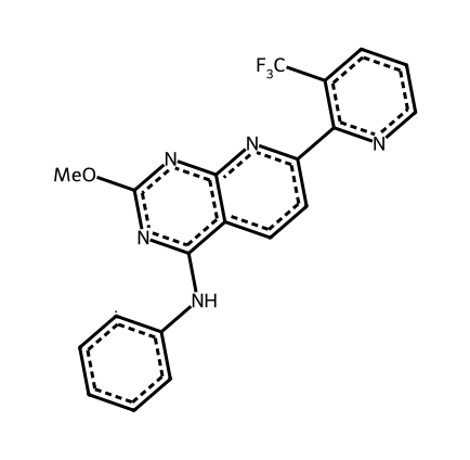 COc1nc(Nc2[c]cccc2)c2ccc(-c3ncccc3C(F)(F)F)nc2n1